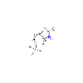 FC(F)(F)c1ccc2sc(Cl)nc2c1